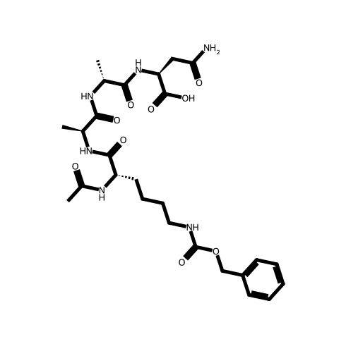 CC(=O)N[C@@H](CCCCNC(=O)OCc1ccccc1)C(=O)N[C@@H](C)C(=O)N[C@H](C)C(=O)N[C@@H](CC(N)=O)C(=O)O